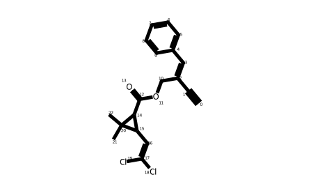 C#CC(=Cc1ccccc1)COC(=O)C1C(C=C(Cl)Cl)C1(C)C